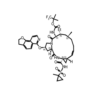 CC[C@@H]1C[C@@H](C)CCC=C[C@@H]2C[C@@]2(C(=O)NS(=O)(=O)C2(C)CC2)NC(=O)[C@@H]2C[C@@H](Oc3nccc4c5c(ccc34)CCO5)CN2C(=O)[C@H]1NC(=O)OC(C)(C)C(F)(F)F